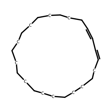 C1=CCCCCCCCCCCCCCCCCCCCCC=C1